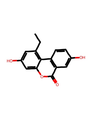 CCc1cc(O)cc2oc(=O)c3cc(O)ccc3c12